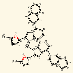 CCc1ccc(C2=Cc3c(-c4ccc5ccccc5c4)cccc3[CH]2[Zr][CH]2C(c3ccc(CC)o3)=Cc3c(-c4ccc5ccccc5c4)cccc32)o1